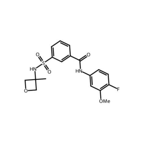 COc1cc(NC(=O)c2cccc(S(=O)(=O)NC3(C)COC3)c2)ccc1F